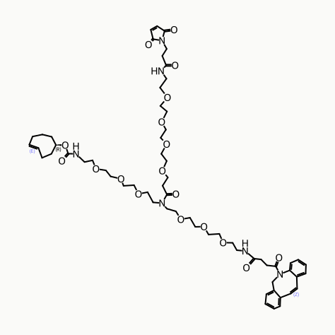 O=C(CCC(=O)N1Cc2ccccc2/C=C\c2ccccc21)NCCOCCOCCOCCN(CCOCCOCCOCCNC(=O)O[C@H]1CC/C=C/CCC1)C(=O)CCOCCOCCOCCOCCNC(=O)CCN1C(=O)C=CC1=O